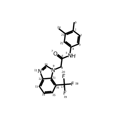 Cc1ccc(NC(=O)Cn2cnc3cccc(C(F)(F)F)c32)cc1C